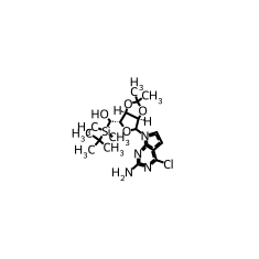 CC1(C)O[C@@H]2[C@@H](C(O)[Si](C)(C)C(C)(C)C)OC(n3ccc4c(Cl)nc(N)nc43)[C@@H]2O1